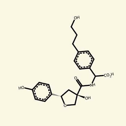 O=C(O)C(NC(=O)[C@]1(O)CO[C@H](c2ccc(O)cc2)C1)c1ccc(CCCO)cc1